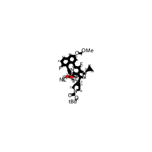 COCOc1cc(-c2nc(CCC#N)c3c(C4C5CN(C(=O)OC(C)(C)C)CC54)nn(C4CC4)c3c2F)c2c(C#C[Si](C(C)C)(C(C)C)C(C)C)c(F)ccc2c1